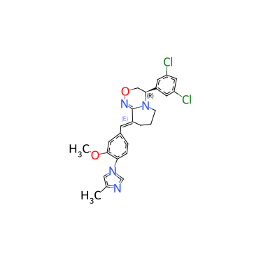 COc1cc(/C=C2\CCCN3C2=NOC[C@H]3c2cc(Cl)cc(Cl)c2)ccc1-n1cnc(C)c1